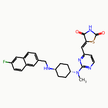 CN(c1nccc(/C=C2\SC(=O)NC2=O)n1)[C@H]1CC[C@H](NCc2ccc3cc(F)ccc3c2)CC1